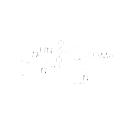 COc1ccc(S(=O)(=O)Nc2nc3ccccc3nc2OCc2ccncc2)cc1